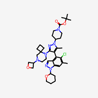 Cc1cc2c(cnn2C2CCCCO2)c(-c2c(N3CCN(C4COC4)CC34CCC4)nn(C3CCN(C(=O)OC(C)(C)C)CC3)c2C)c1Cl